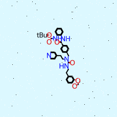 CC(C)(C)OC(=O)Nc1ccccc1NC(=O)c1ccc(CN(CCc2ccncc2)C(=O)NCCc2ccc3c(c2)OCO3)cc1